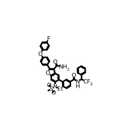 CCN(c1cc2oc(-c3ccc(Oc4ccc(F)cc4)cc3)c(C(N)=O)c2cc1-c1cccc(C(=O)NC(c2ccccc2)C(F)(F)F)c1)S(C)(=O)=O